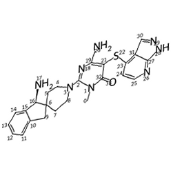 Cn1c(N2CCC3(CC2)Cc2ccccc2[C@H]3N)nc(N)c(Sc2ccnc3[nH]ncc23)c1=O